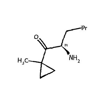 CC(C)C[C@@H](N)C(=O)C1(C)CC1